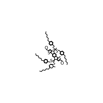 CCCCCCC1=CC=C(S/C(SCc2ccc(CCCCCC)cc2)=C2/c3cc4c(cc3-c3sc(C=O)cc32)C(C(C)(SCc2ccc(CCCCCC)cc2)SCc2ccc(CCCCCC)cc2)c2cc(C=O)sc2-4)C(C)C1